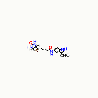 O=Cc1c[nH]c2ccc(NC(=O)CCCC[C@@H]3SC[C@@H]4NC(=O)N[C@@H]43)cc12